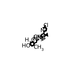 Cc1cc(O)ccc1CC(CNC(=O)CC(c1ccc(Cl)cn1)C1(C(F)(F)F)CC1)N(C)C